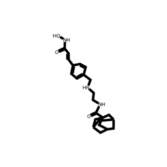 O=C(C=Cc1ccc(CNCCNC(=O)C23CC4CC(CC(C4)C2)C3)cc1)NO